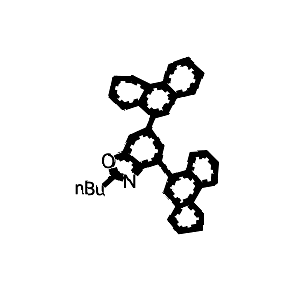 CCCCc1nc2c(-c3cc4ccccc4c4ccccc34)cc(-c3cc4ccccc4c4ccccc34)cc2o1